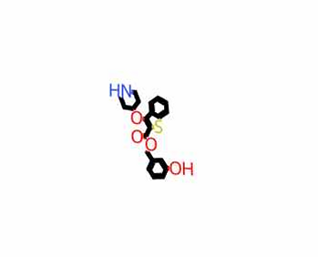 O=C(OCc1cccc(O)c1)c1sc2ccccc2c1OC1CCNCC1